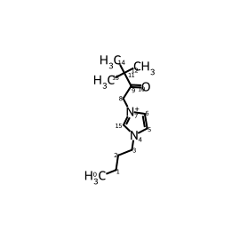 CCCCn1cc[n+](CC(=O)C(C)(C)C)c1